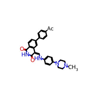 CC(=O)c1ccc(-c2ccc3c(c2)/C(=C/Nc2ccc(N4CCN(C)CC4)cc2)C(=O)NC3=O)cc1